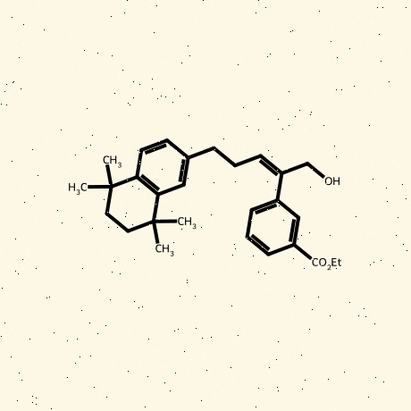 CCOC(=O)c1cccc(C(=CCCc2ccc3c(c2)C(C)(C)CCC3(C)C)CO)c1